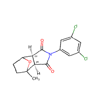 CC12CCC(O1)[C@H]1C(=O)N(c3cc(Cl)cc(Cl)c3)C(=O)[C@H]12